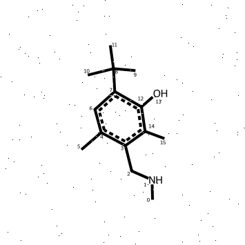 CNCc1c(C)cc(C(C)(C)C)c(O)c1C